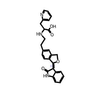 O=C1Nc2ccccc2/C1=C1\OCc2cc(CCNC(Cc3ccccn3)C(=O)O)ccc21